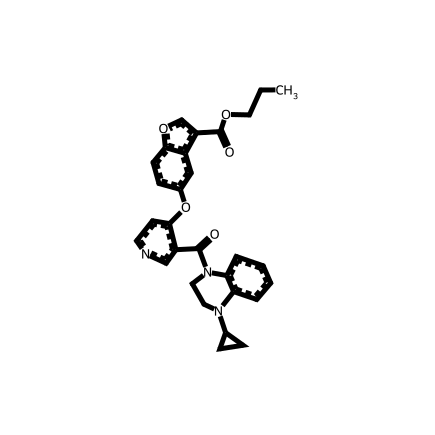 CCCOC(=O)c1coc2ccc(Oc3ccncc3C(=O)N3CCN(C4CC4)c4ccccc43)cc12